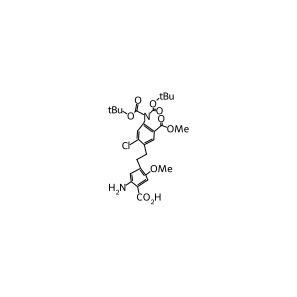 COC(=O)c1cc(CCc2cc(N)c(C(=O)O)cc2OC)c(Cl)cc1N(C(=O)OC(C)(C)C)C(=O)OC(C)(C)C